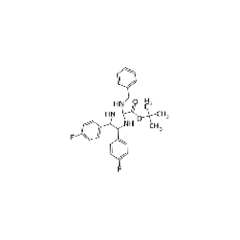 CC(C)(C)OC(=O)C1(NCc2ccccc2)NC(c2ccc(F)cc2)C(c2ccc(F)cc2)N1